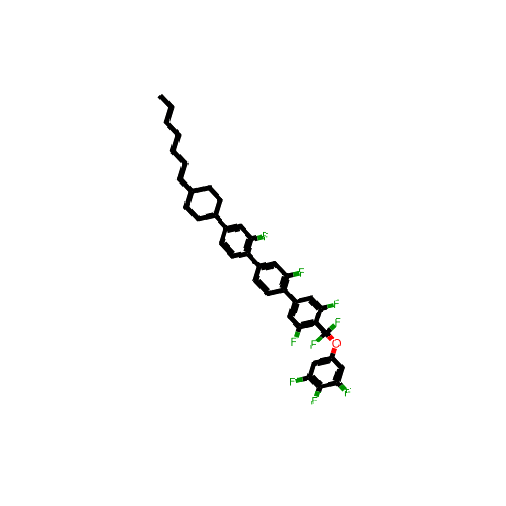 CCCCCCCC1CCC(c2ccc(-c3ccc(-c4cc(F)c(C(F)(F)Oc5cc(F)c(F)c(F)c5)c(F)c4)c(F)c3)c(F)c2)CC1